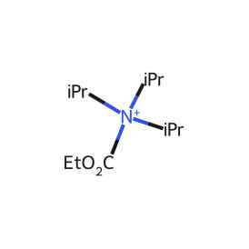 CCOC(=O)[N+](C(C)C)(C(C)C)C(C)C